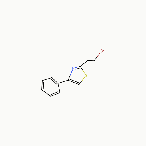 BrCCc1nc(-c2ccccc2)cs1